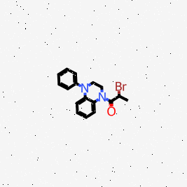 CC(Br)C(=O)N1CCN(c2ccccc2)c2ccccc21